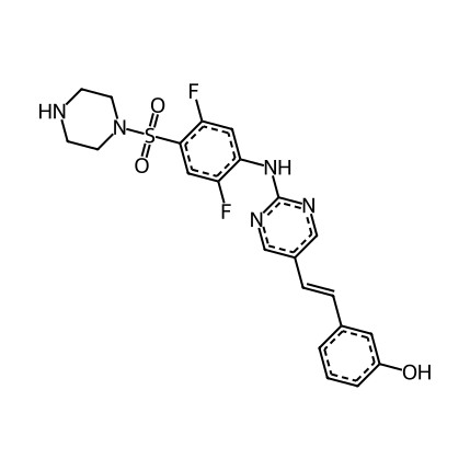 O=S(=O)(c1cc(F)c(Nc2ncc(/C=C/c3cccc(O)c3)cn2)cc1F)N1CCNCC1